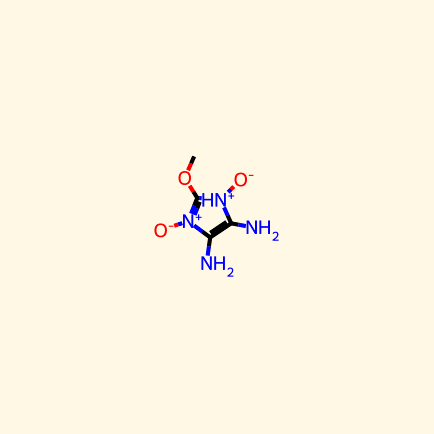 COC1=[N+]([O-])C(N)=C(N)[NH+]1[O-]